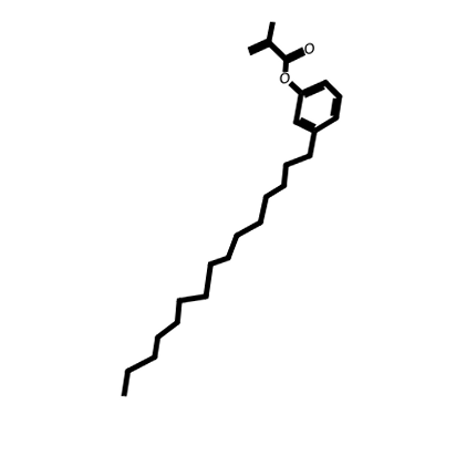 C=C(C)C(=O)Oc1cccc(CCCCCCCCCCCCCCC)c1